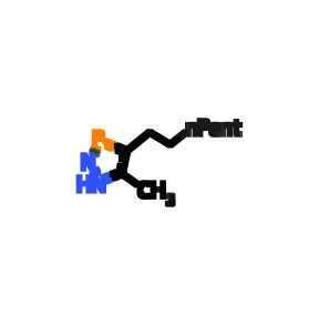 CCCCCCCc1pn[nH]c1C